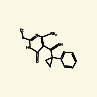 CCSc1nc(N)c(C(=N)C2(c3ccccc3)CC2)c(=O)[nH]1